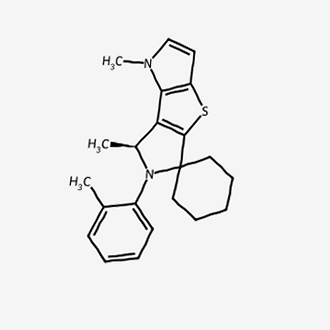 Cc1ccccc1N1[C@@H](C)c2c(sc3ccn(C)c23)C12CCCCC2